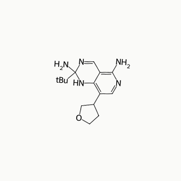 CC(C)(C)C1(N)N=Cc2c(N)ncc(C3CCOC3)c2N1